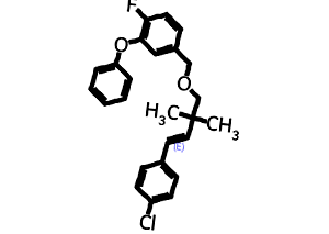 CC(C)(/C=C/c1ccc(Cl)cc1)COCc1ccc(F)c(Oc2ccccc2)c1